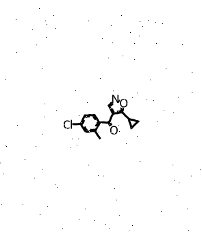 Cc1cc(Cl)ccc1C(=O)c1cnoc1C1CC1